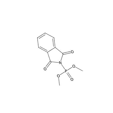 COP(=O)(OC)N1C(=O)c2ccccc2C1=O